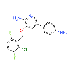 Nc1ccc(-c2cnc(N)c(OCc3c(F)ccc(F)c3Cl)c2)cc1